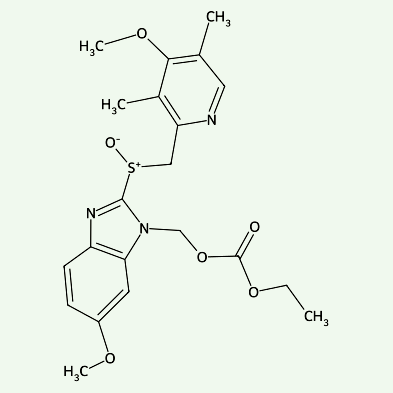 CCOC(=O)OCn1c([S+]([O-])Cc2ncc(C)c(OC)c2C)nc2ccc(OC)cc21